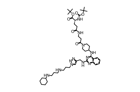 CC(C)(C)OC(=O)N[C@@H](CCC(=O)NCCC(=O)N1CCC(Nc2nc(NCc3cn(CCCNCCCNC4CCCCC4)nn3)nc3ccccc23)CC1)C(=O)OC(C)(C)C